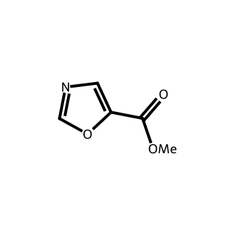 COC(=O)c1cnco1